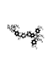 CON(c1ccc(C)cc1)c1cc2cnc(N3CCC(Nc4ccc(C(=O)OC(C)(C)C)cc4)CC3)nc2cc1N(OC)c1ccc(C)cc1